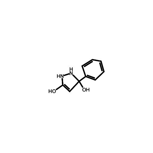 OC1=CC(O)(c2ccccc2)NN1